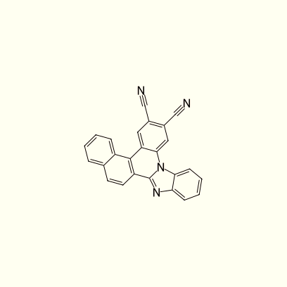 N#Cc1cc2c3c4ccccc4ccc3c3nc4ccccc4n3c2cc1C#N